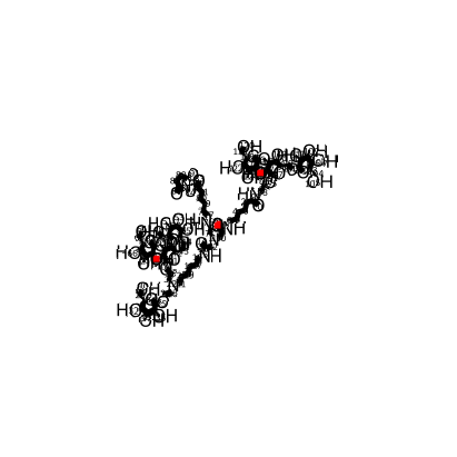 O=C(CCCCCNC(=O)CN(CC(=O)NCCCCCCN(CCO[C@@H]1O[C@H](CO)[C@@H](O)[C@H](O)[C@@H]1O)CCO[C@H]1O[C@H](CO[C@H]2O[C@H](CO)[C@@H](O)[C@H](O)[C@@H]2O)[C@@H](O)[C@H](O[C@H]2O[C@H](CO)[C@@H](O)[C@H](O)[C@@H]2O)[C@@H]1O)CC(=O)NCCCCCC(=O)ON1C(=O)CCC1=O)NCCO[C@@H]1O[C@H](CO[C@H]2O[C@H](CO)[C@@H](O)[C@H](O)[C@@H]2O)[C@@H](O)[C@H](O[C@H]2O[C@H](CO)[C@@H](O)[C@H](O)[C@@H]2O)[C@@H]1O